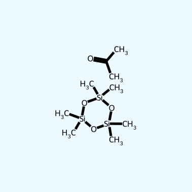 CC(C)=O.C[Si]1(C)O[Si](C)(C)O[Si](C)(C)O1